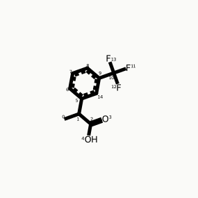 CC(C(=O)O)c1cccc(C(F)(F)F)c1